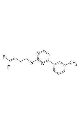 FC(F)=CCCSc1nccc(-c2cccc(C(F)(F)F)c2)n1